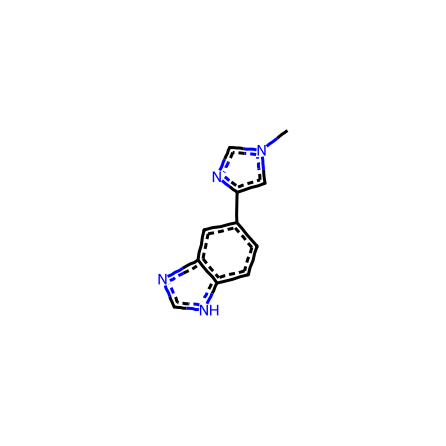 Cn1cnc(-c2ccc3[nH]cnc3c2)c1